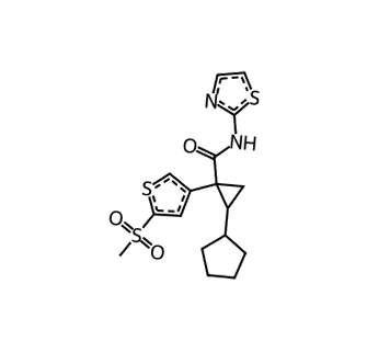 CS(=O)(=O)c1cc(C2(C(=O)Nc3nccs3)CC2C2CCCC2)cs1